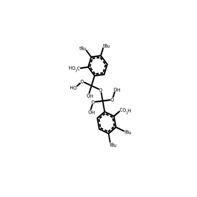 CC(C)(C)c1ccc(C(O)(OO)OC(OO)(OO)c2ccc(C(C)(C)C)c(C(C)(C)C)c2C(=O)O)c(C(=O)O)c1C(C)(C)C